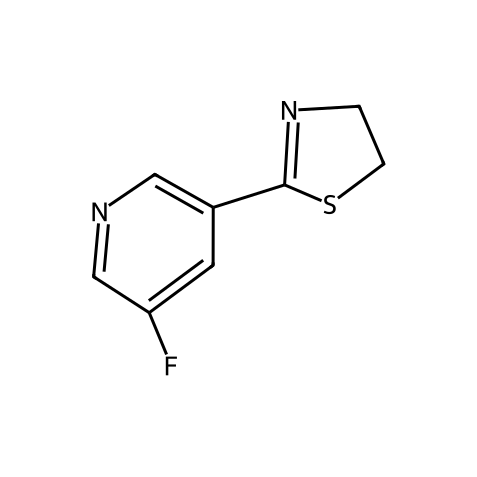 Fc1cncc(C2=NCCS2)c1